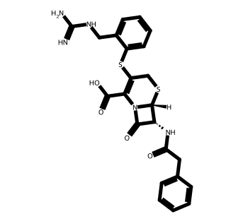 N=C(N)NCc1ccccc1SC1=C(C(=O)O)N2C(=O)[C@@H](NC(=O)Cc3ccccc3)[C@H]2SC1